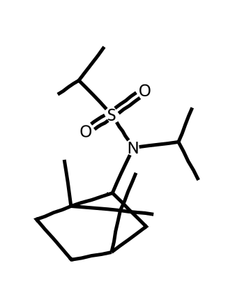 CC(C)N([C]1CC2CCC1(C)C2(C)C)S(=O)(=O)C(C)C